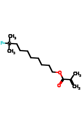 C=C(C)C(=O)OCCCCCCCC[Si](C)(C)F